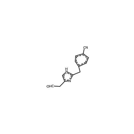 N#Cc1ccc(Cc2nc(C[C]=O)c[nH]2)cc1